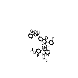 CC(C)Oc1ccc(-c2nn([C@@H](C)c3oc4ccc(F)cc4c(=O)c3-c3cccc(F)c3)c3ncnc(N)c23)cc1F.O=S(=O)(O)c1ccccc1